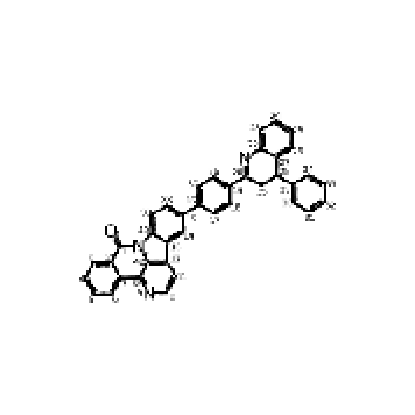 O=c1c2ccccc2c2nccc3c4cc(-c5ccc(C6=Nc7ccccc7C(c7ccccc7)C6)cc5)ccc4n1c32